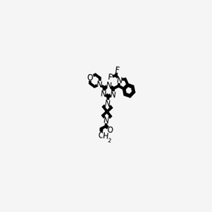 C=CC(=O)N1CC2(C1)CN(c1nc(C3c4ccccc4CN3C(F)F)nc(N3CCOCC3)n1)C2